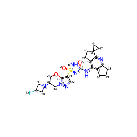 NS(=O)(=NC(=O)Nc1c2c(nc3c1CCC31CC1)CCC2)c1cnn2c1OCC(N1CC(F)C1)C2